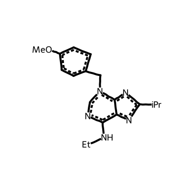 CCNc1ncn(Cc2ccc(OC)cc2)c2nc(C(C)C)nc1-2